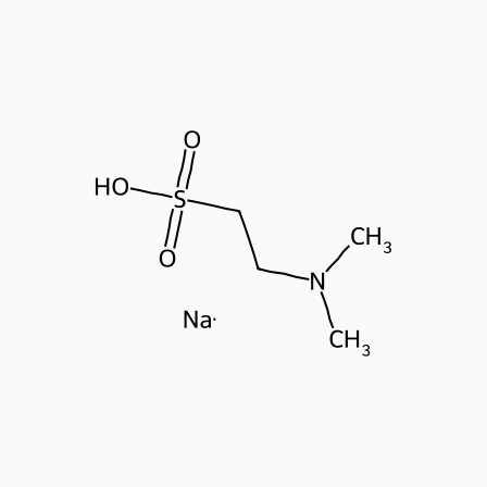 CN(C)CCS(=O)(=O)O.[Na]